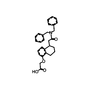 O=C(O)COc1cccc2c1CCCC2CC(=O)N(Cc1ccccc1)Cc1ccccc1